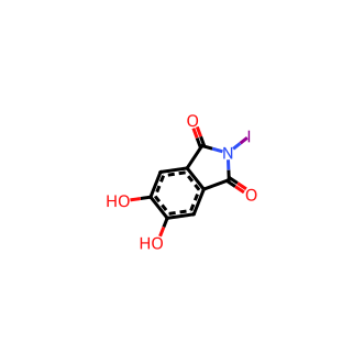 O=C1c2cc(O)c(O)cc2C(=O)N1I